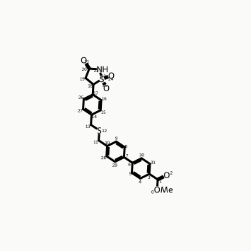 COC(=O)c1ccc(-c2ccc(CSCc3ccc(C4CC(=O)NS4(=O)=O)cc3)cc2)cc1